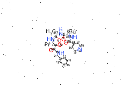 CC(C)[C@H](NC(=O)[C@H](C)NC(=O)[C@@H](NC(=O)c1ccncc1)C(C)(C)C)C(=O)C(=O)NCc1ccccc1